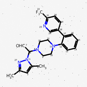 Cc1cc(C)n(C(C=O)N2CCN(c3ccccc3-c3ccc(C(F)(F)F)nc3)CC2)n1